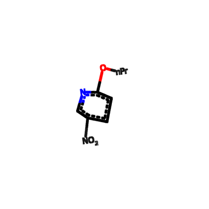 CCCOc1ccc([N+](=O)[O-])cn1